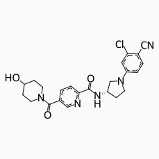 N#Cc1ccc(N2CC[C@H](NC(=O)c3ccc(C(=O)N4CCC(O)CC4)cn3)C2)cc1Cl